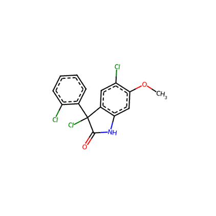 COc1cc2c(cc1Cl)C(Cl)(c1ccccc1Cl)C(=O)N2